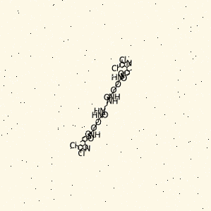 Cc1ccc(S(=O)(=O)NCCOCCOCCNC(=O)NCCCCNC(=O)NCCOCCOCCNS(=O)(=O)c2ccc(C)c(C3CN(C)Cc4c(Cl)cc(Cl)cc43)c2)cc1C1CN(C)Cc2c(Cl)cc(Cl)cc21